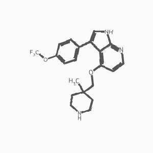 CC1(COc2ccnc3[nH]cc(-c4ccc(OC(F)(F)F)cc4)c23)CCNCC1